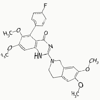 COc1cc2c(cc1OC)CN(c1nc(=O)c3c(-c4ccc(F)cc4)c(OC)c(OC)cc3[nH]1)CC2